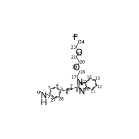 CNc1ccc(C#Cc2nc3ccccc3n2CCOCCOCCF)cc1